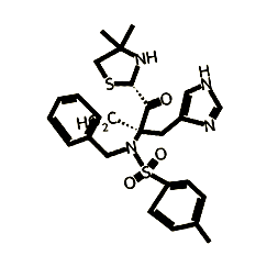 Cc1ccc(S(=O)(=O)N(Cc2ccccc2)[C@@](Cc2c[nH]cn2)(C(=O)O)C(=O)[C@H]2NC(C)(C)CS2)cc1